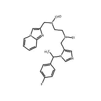 CCN(CCN(C=O)Cc1cn2ccccc2n1)Cc1cncn1C(C)c1ccc(F)cc1